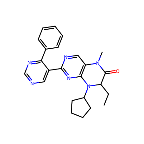 CCC1C(=O)N(C)c2cnc(-c3cncnc3-c3ccccc3)nc2N1C1CCCC1